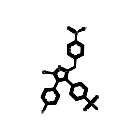 CS(=O)(=O)c1ccc(-c2c(-c3ccc(F)cc3)c(Cl)nn2Cc2ccc([N+](=O)[O-])cc2)cc1